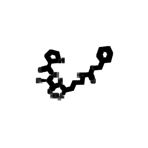 CC(C)[C@H](NC(=O)[C@H]1CCCN1)C(=O)N[C@@H](CCCNC(=O)OCc1ccccc1)C(=O)O